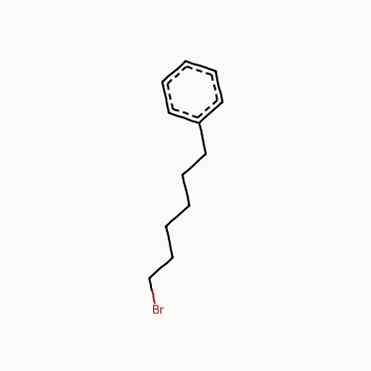 BrCCCCCCc1ccccc1